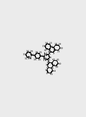 C1=CC2C=C(c3cc(-c4cc5c(c6ccccc46)C=CCC5)nc(-c4ccc(-c5ccccn5)cc4)n3)C3=C(C=CCC3)C2C=C1